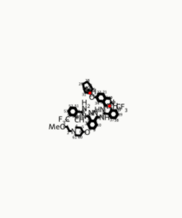 COCCN1CCC(Oc2ccc3c(N[C@@H](Nc4nncc5ccc(OC6CC7CCC(C6)N7C)cc45)c4cccc(C(F)(F)F)c4C)nnc(N[C@H](N)c4cccc(C(F)(F)F)c4C)c3c2)CC1